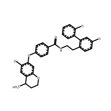 O=C(NCCc1ccc(Cl)cc1-c1ccccc1Cl)c1ccc(Oc2cc3c(cc2Cl)C(C(=O)O)CCO3)cc1